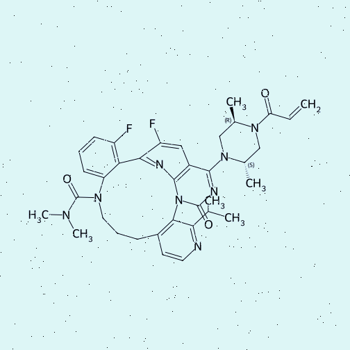 C=CC(=O)N1C[C@H](C)N(c2nc(=O)n3c4nc(c(F)cc24)-c2c(F)cccc2N(C(=O)N(C)C)CCCc2ccnc(C(C)C)c2-3)C[C@H]1C